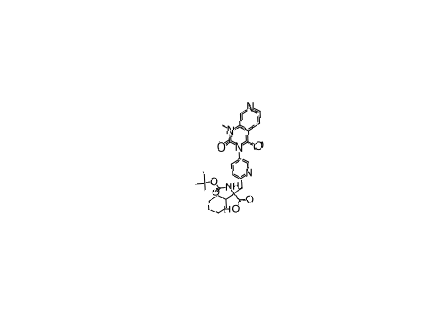 Cn1c(=O)n(-c2ccc(C[C@@](NC(=O)OC(C)(C)C)(C(=O)O)C3CCCCC3)nc2)c(=O)c2ccncc21